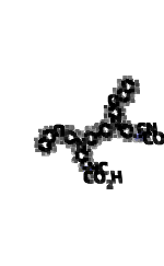 [C-]#[N+]/C(=C\c1ccc(N(c2ccc(Oc3ccc4ccccc4c3)cc2)c2ccc(-c3ccc(N(c4ccc(/C=C(\C#N)C(=O)O)cc4)c4ccc(Oc5ccc6ccccc6c5)cc4)cc3)cc2)cc1)C(=O)O